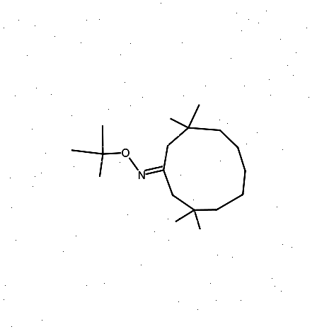 CC1(C)CCCCCC(C)(C)CC(=NOC(C)(C)C)C1